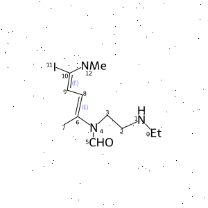 CCNCCN(C=O)/C(C)=C/C=C(/I)NC